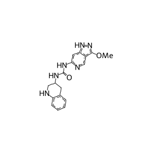 COc1n[nH]c2cc(NC(=O)NC3CNc4ccccc4C3)ncc12